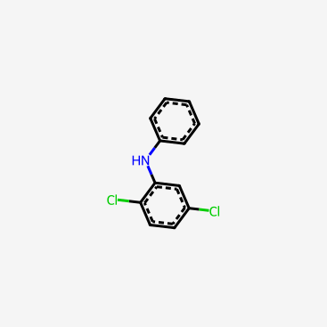 Clc1ccc(Cl)c(Nc2ccccc2)c1